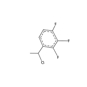 CC(Cl)c1ccc(F)c(F)c1F